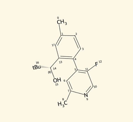 Cc1ccc(-c2cc(C)ncc2F)c([C@H](O)C(C)(C)C)c1